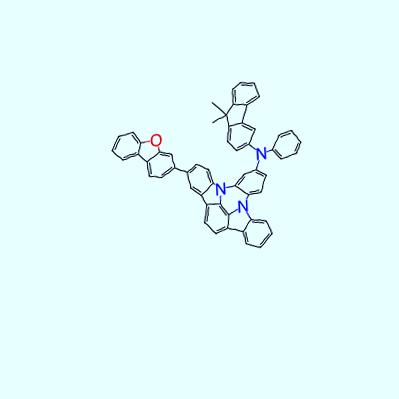 CC1(C)c2ccccc2-c2cc(N(c3ccccc3)c3ccc4c(c3)n3c5ccc(-c6ccc7c(c6)oc6ccccc67)cc5c5ccc6c7ccccc7n4c6c53)ccc21